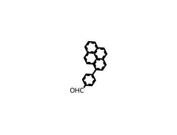 O=Cc1ccc(-c2ccc3ccc4cccc5ccc2c3c45)cc1